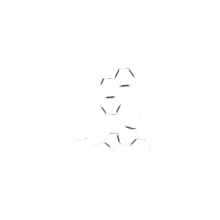 CCCCc1nc2cc(OC)c(OC)cc2n1Cc1ccc(-c2ccccc2C(=O)O)cc1